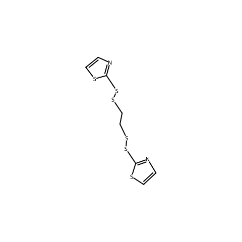 c1csc(SSCCSSc2nccs2)n1